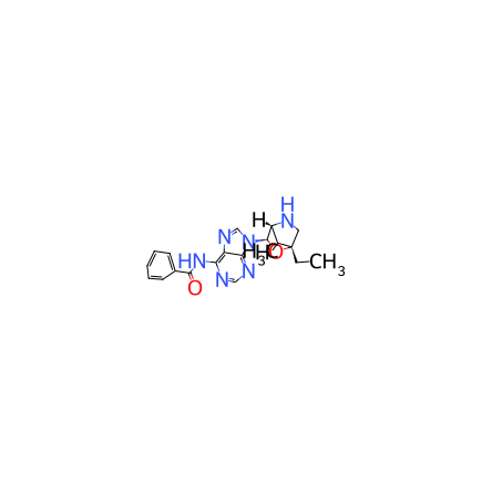 CC[C@@]12CN[C@@H]([C@H](n3cnc4c(NC(=O)c5ccccc5)ncnc43)O1)[C@@H]2C